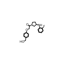 O=C(COc1ccc(CO)cc1)N1CCC(Nc2ccccc2F)C1